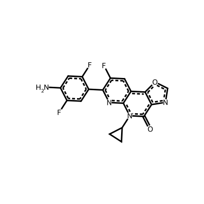 Nc1cc(F)c(-c2nc3c(cc2F)c2ocnc2c(=O)n3C2CC2)cc1F